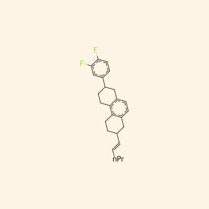 CCC/C=C/C1CCc2c(ccc3c2CCC(c2ccc(F)c(F)c2)C3)C1